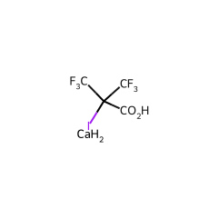 O=C(O)C(I)(C(F)(F)F)C(F)(F)F.[CaH2]